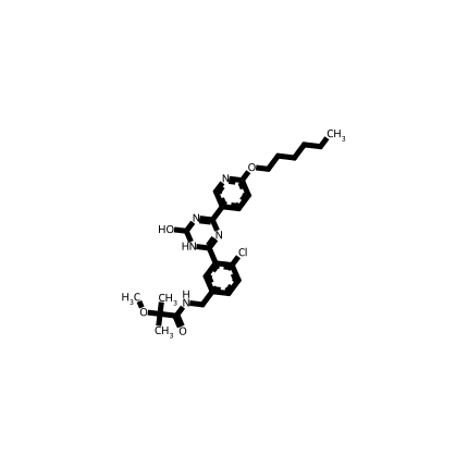 CCCCCCOc1ccc(C2=NC(O)NC(c3cc(CNC(=O)C(C)(C)OC)ccc3Cl)=N2)cn1